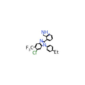 [CH2]Cc1ccc(-n2c(-c3ccccc3CN)nc3cc(C(F)(F)F)c(Cl)cc32)cc1